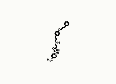 Cc1ccc(S(=O)(=O)NC(=O)CCNCCCc2ccc(OCCCc3ccccc3)cc2)nc1